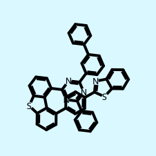 c1ccc(-c2cccc(-c3nc(-c4ccccc4)nc(-c4cccc5sc6cccc(-c7ccc(-c8nc9ccccc9s8)cc7)c6c45)n3)c2)cc1